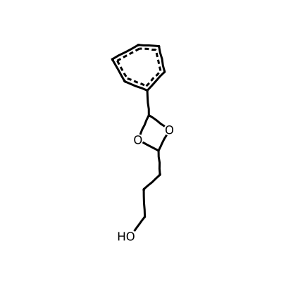 OCCCC1OC(c2ccccc2)O1